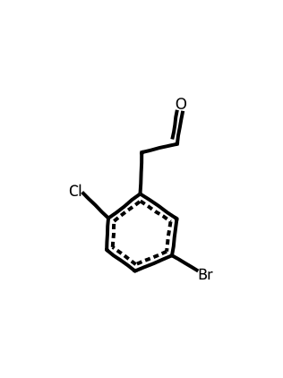 O=CCc1cc(Br)ccc1Cl